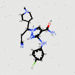 CN1CCC(C(CC#N)n2cc(C(N)=O)c(Nc3ccc(F)cc3)n2)CC1